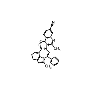 Cc1cc2c3n1C(c1ccccc1)=CN(n1c(C)nc4cc(C#N)ccc4c1=O)C(=O)C3=CCC2